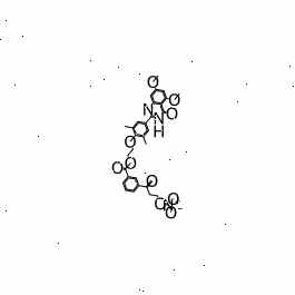 COc1cc(OC)c2c(=O)[nH]c(-c3cc(C)c(OCCOC(=O)c4cccc(C(=O)CCO[N+](=O)[O-])c4)c(C)c3)nc2c1